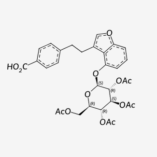 CC(=O)OC[C@H]1O[C@@H](Oc2cccc3occ(CCc4ccc(C(=O)O)cc4)c23)[C@H](OC(C)=O)[C@@H](OC(C)=O)[C@@H]1OC(C)=O